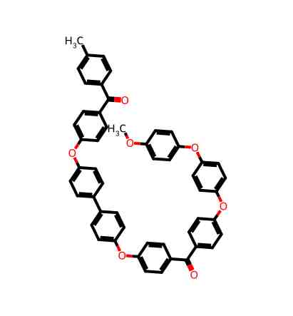 COc1ccc(Oc2ccc(Oc3ccc(C(=O)c4ccc(Oc5ccc(-c6ccc(Oc7ccc(C(=O)c8ccc(C)cc8)cc7)cc6)cc5)cc4)cc3)cc2)cc1